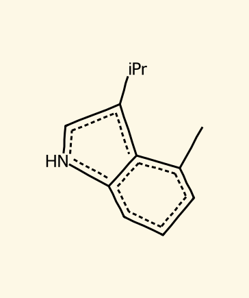 Cc1cccc2[nH]cc(C(C)C)c12